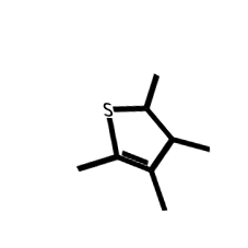 CC1=C(C)C(C)C(C)S1